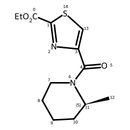 CCOC(=O)c1nc(C(=O)N2CCCC[C@@H]2C)cs1